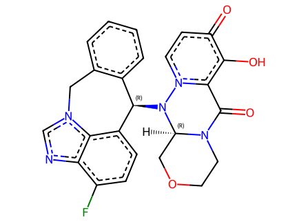 O=C1c2c(O)c(=O)ccn2N([C@@H]2c3ccccc3Cn3cnc4c(F)ccc2c43)[C@@H]2COCCN12